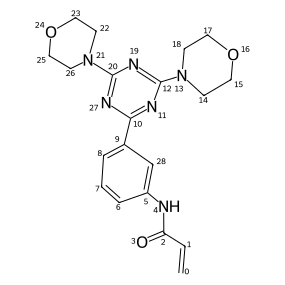 C=CC(=O)Nc1cccc(-c2nc(N3CCOCC3)nc(N3CCOCC3)n2)c1